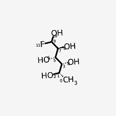 C[C@H](O)[C@@H](O)[C@H](O)[C@H](O)C(O)F